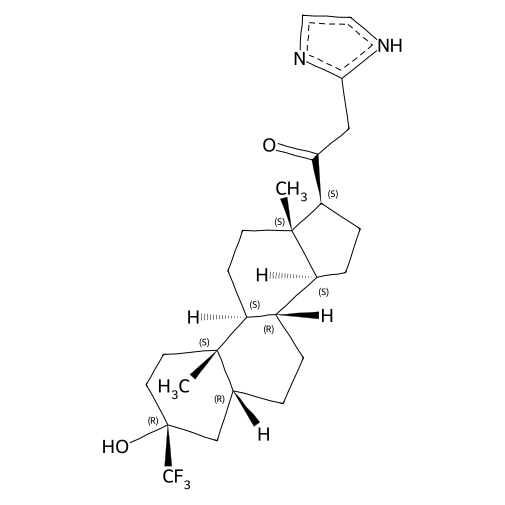 C[C@]12CC[C@](O)(C(F)(F)F)C[C@H]1CC[C@@H]1[C@@H]2CC[C@]2(C)[C@@H](C(=O)Cc3ncc[nH]3)CC[C@@H]12